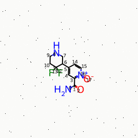 NC(=O)c1cc(C2CNCCC2(F)F)cc[n+]1[O-]